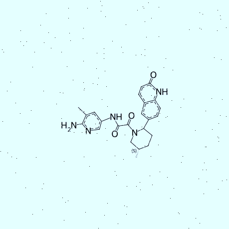 Cc1cc(NC(=O)C(=O)N2C[C@@H](C)CCC2c2ccc3[nH]c(=O)ccc3c2)cnc1N